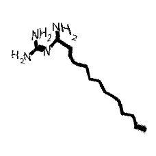 CCCCCCCCCCCC(N)N=C(N)N